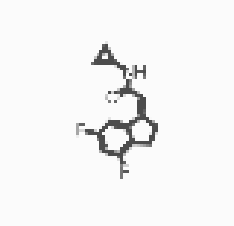 O=C(/C=C1/CCc2c(F)cc(F)cc21)NC1CC1